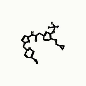 N#Cc1ccc(Cn2ccc(NC(=O)Cc3ccc(OCC4CC4)c(OC(F)(F)F)c3)n2)nc1